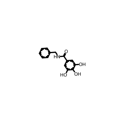 O=C(NCc1ccccc1)c1cc(O)c(O)c(O)c1